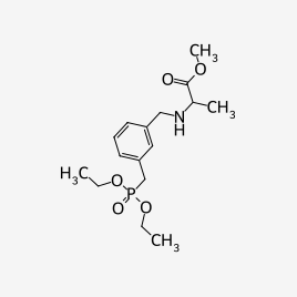 CCOP(=O)(Cc1cccc(CNC(C)C(=O)OC)c1)OCC